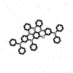 c1ccc(N(c2ccccc2)c2ccc3c(c2)Oc2cc4c5c6c2B3c2ccccc2N6c2ccccc2B5c2ccc(N(c3ccccc3)c3ccccc3)cc2N4c2ccccc2)cc1